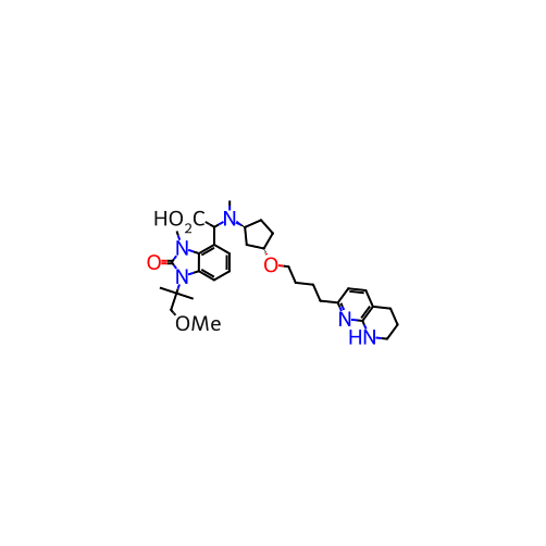 COCC(C)(C)n1c(=O)n(C)c2c(C(C(=O)O)N(C)[C@H]3CC[C@H](OCCCCc4ccc5c(n4)NCCC5)C3)cccc21